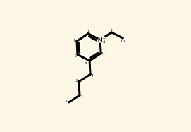 CCCCc1ccc[n+](CC)c1